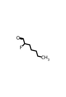 CCCCCC(F)C=O